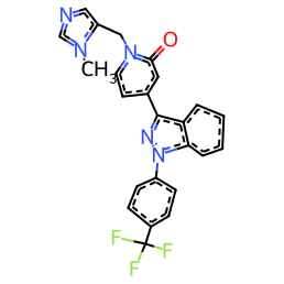 Cn1cncc1Cn1ccc(-c2nn(-c3ccc(C(F)(F)F)cc3)c3ccccc23)cc1=O